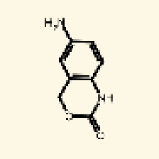 Nc1ccc2c(c1)COC(=O)N2